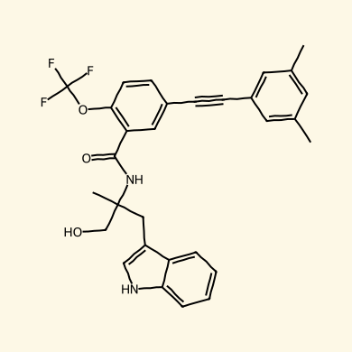 Cc1cc(C)cc(C#Cc2ccc(OC(F)(F)F)c(C(=O)NC(C)(CO)Cc3c[nH]c4ccccc34)c2)c1